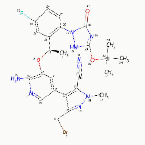 C[C@@H](Oc1cc(-c2c(CBr)nn(C)c2C#N)cnc1N)c1cc(F)ccc1-n1[nH]c(O[Si](C)(C)C)nc1=O